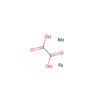 O=C(O)C(=O)O.[Fe].[KH]